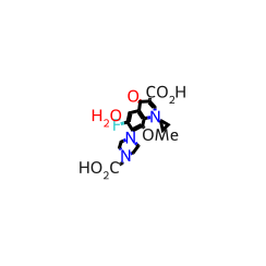 COc1c(N2CCN(CC(=O)O)CC2)c(F)cc2c(=O)c(C(=O)O)cn(C3CC3)c12.O